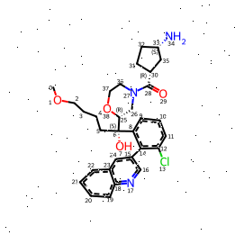 COCCCC[C@](O)(c1cccc(Cl)c1-c1cnc2ccccc2c1)[C@H]1CN(C(=O)[C@@H]2CC[C@H](N)C2)CCO1